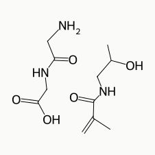 C=C(C)C(=O)NCC(C)O.NCC(=O)NCC(=O)O